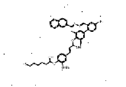 CCCc1ccc(-c2cc(F)c(OC(O)/C=C/c3ccc(OC(O)CCCCCS)c(OC)c3)c(F)c2)c(/C=N/N=C/c2ccc3ccccc3c2)c1